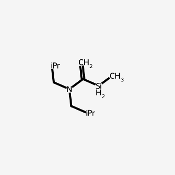 C=C([SiH2]C)N(CC(C)C)CC(C)C